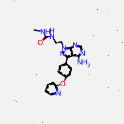 CNC(=O)NCCn1nc(-c2ccc(Oc3ccccn3)cc2)c2c(N)ncnc21